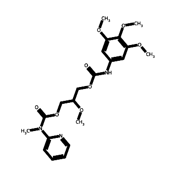 COc1cc(NC(=O)OCC(COC(=O)N(C)c2ccccn2)OC)cc(OC)c1OC